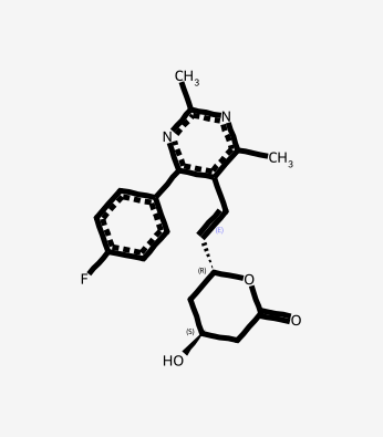 Cc1nc(C)c(/C=C/[C@H]2C[C@H](O)CC(=O)O2)c(-c2ccc(F)cc2)n1